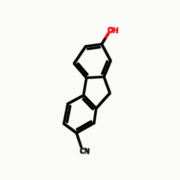 N#Cc1ccc2c(c1)Cc1cc(O)ccc1-2